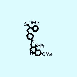 COC(=S)C(Cc1ccc(OCc2cnc3ccc(OC)cc3c2OC(C)C)cc1)c1ccccc1